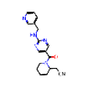 N#CCC1CCCCN1C(=O)c1cnc(NCc2cccnc2)nc1